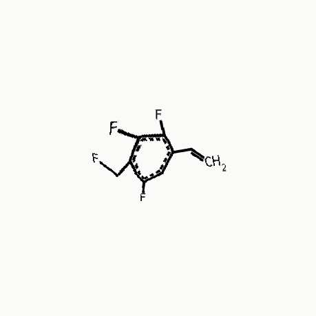 C=Cc1cc(F)c(CF)c(F)c1F